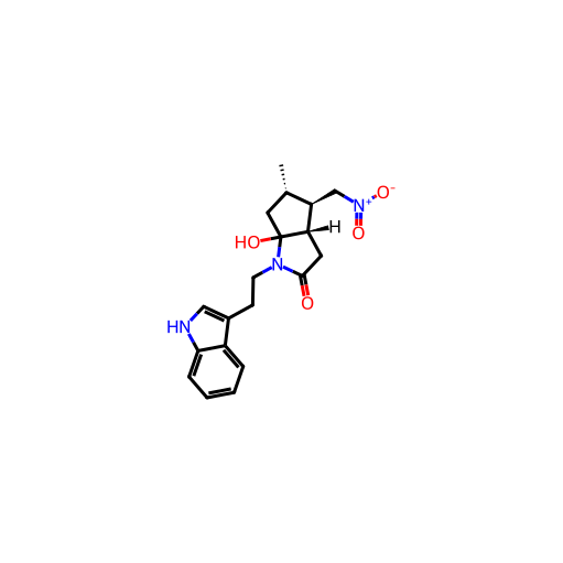 C[C@H]1CC2(O)[C@@H](CC(=O)N2CCc2c[nH]c3ccccc23)[C@@H]1C[N+](=O)[O-]